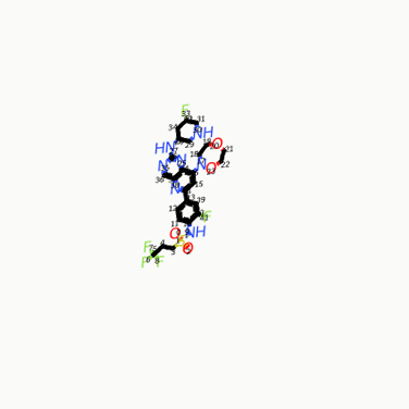 O=S(=O)(CCC(F)(F)F)Nc1ccc(-c2cc(N3CCOCCO3)c3nc(N[C@@H]4CNC[C@@H](F)C4)ncc3n2)cc1F